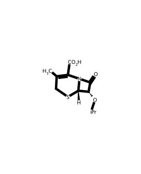 CC1=C(C(=O)O)N2C(=O)[C@H](OC(C)C)[C@@H]2SC1